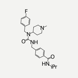 CC(C)NC(=O)c1ccc(CNC(=O)N(Cc2ccc(F)cc2)C2CCN(C)CC2)cc1